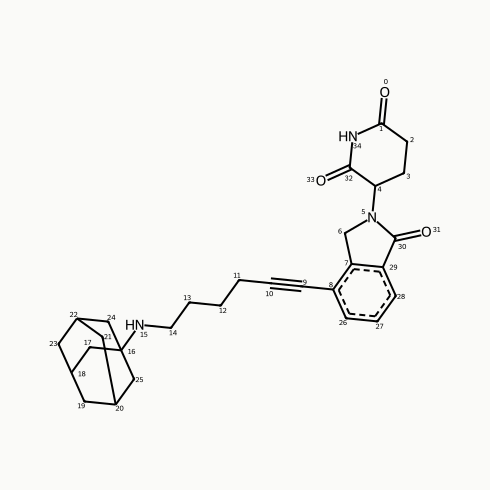 O=C1CCC(N2Cc3c(C#CCCCCNC45CC6CC(CC(C6)C4)C5)cccc3C2=O)C(=O)N1